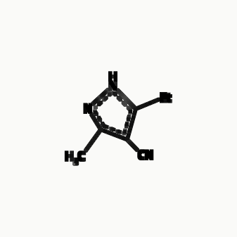 CCc1[nH]nc(C)c1C#N